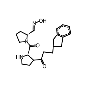 O=C(CCC1Cc2ccccc2C1)C1CCN[C@H]1C(=O)N1CCC[C@H]1C=NO